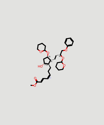 COC(=O)C=C/C=C\CC[C@@H]1[C@@H](CC[C@H](COc2ccccc2)OC2CCCCO2)[C@H](OC2CCCCO2)C[C@H]1O